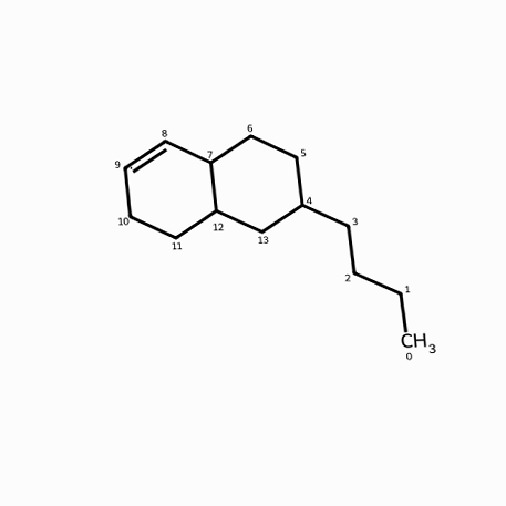 CCCCC1CCC2C=[C]CCC2C1